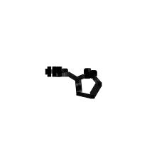 [SnH][c]1ccc[se]1